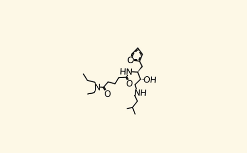 CCCN(CC)C(=O)CCCC(=O)N[C@@H](Cc1ccco1)[C@H](O)CNCCC(C)C